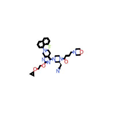 N#CC[C@H]1CN(c2nc(OCCOC3CC3)nc3c2CCN(c2cccc4cccc(F)c24)C3)CCN1C(=O)/C=C/CN1CCOCC1